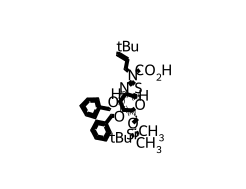 CC(C)(C)C=CCN(C(=O)O)C1=N[C@@H]2[C@@H](OCc3ccccc3)[C@H](OCc3ccccc3)[C@@H](CO[Si](C)(C)C(C)(C)C)O[C@@H]2S1